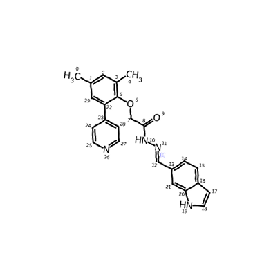 Cc1cc(C)c(OCC(=O)N/N=C/c2ccc3cc[nH]c3c2)c(-c2ccncc2)c1